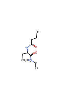 CC(C)CCC(=O)NC(CC(=O)O)C(=O)NCC(C)C